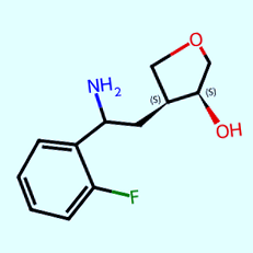 NC(C[C@H]1COC[C@H]1O)c1ccccc1F